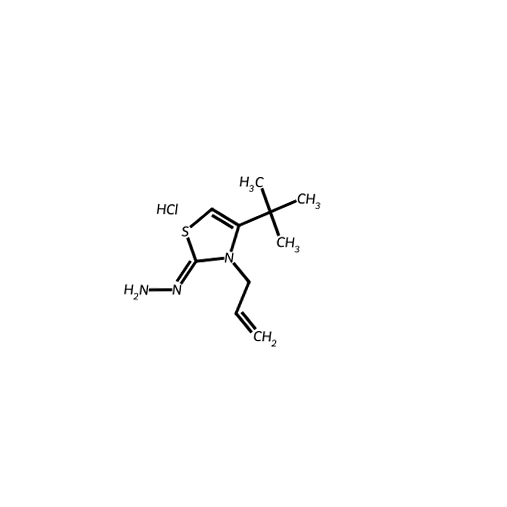 C=CCn1c(C(C)(C)C)csc1=NN.Cl